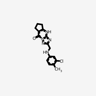 Cc1ccc(NCc2nc3[nH]c4c(c(=O)n3n2)CCC4)cc1Cl